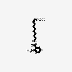 CCCCCCCC/C=C\CCCCCCCCOC(=O)c1ccccc1N